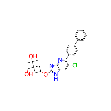 CC(C)(O)C1(CO)CC(Oc2nc3nc(-c4ccc(-c5ccccc5)cc4)c(Cl)cc3[nH]2)C1